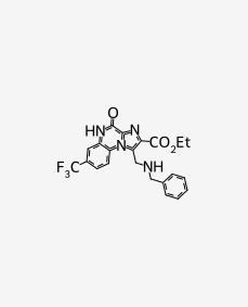 CCOC(=O)c1nc2c(=O)[nH]c3cc(C(F)(F)F)ccc3n2c1CNCc1ccccc1